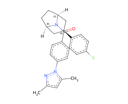 Cc1cc(C)n(-c2ccc(C(=O)N3[C@@H]4CC[C@H]3C[C@@H](c3ccc(F)cc3)C4)cc2)n1